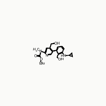 CN(C(=O)OC(C)(C)C)c1cc(CO)c(-c2cccc(NC3CC3)c2CO)cn1